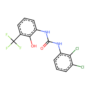 O=C(Nc1cccc(C(F)(F)F)c1O)Nc1cccc(Cl)c1Cl